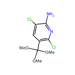 COC(OC)(OC)c1cc(Cl)c(N)nc1Cl